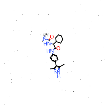 Cc1n[nH]c(C)c1-c1ccc(NC(=O)C(NC(=O)N(C)C(C)C)C2CCCCC2)cc1